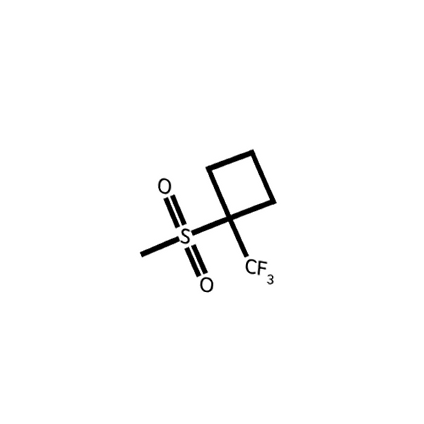 CS(=O)(=O)C1(C(F)(F)F)CCC1